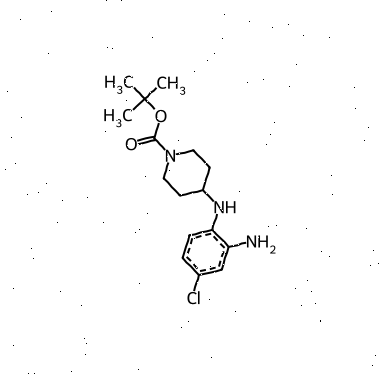 CC(C)(C)OC(=O)N1CCC(Nc2ccc(Cl)cc2N)CC1